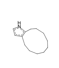 c1cc2c([nH]1)CCCCCCCCC2